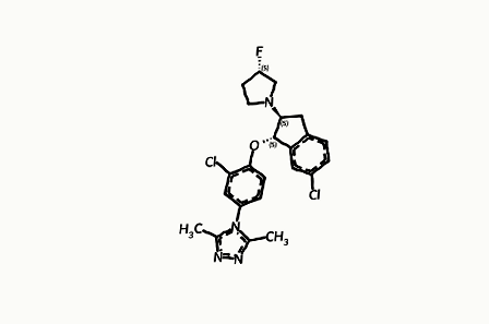 Cc1nnc(C)n1-c1ccc(O[C@H]2c3cc(Cl)ccc3C[C@@H]2N2CC[C@H](F)C2)c(Cl)c1